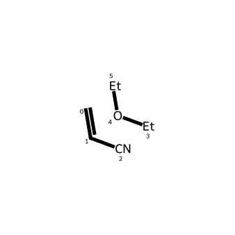 C=CC#N.CCOCC